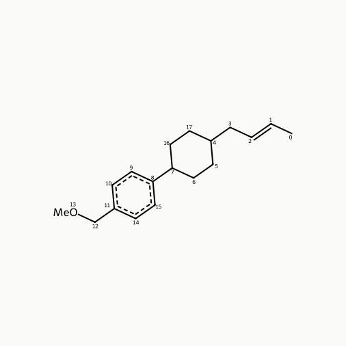 CC=CCC1CCC(c2ccc(COC)cc2)CC1